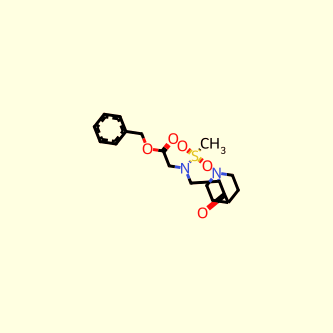 CS(=O)(=O)N(CC(=O)OCc1ccccc1)CC1C(=O)C2CCN1CC2